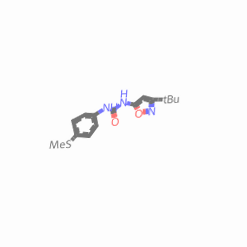 CSc1ccc(NC(=O)Nc2cc(C(C)(C)C)no2)cc1